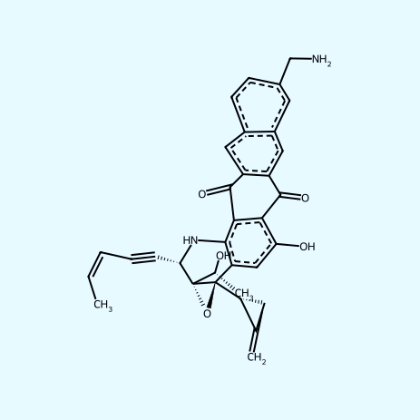 C=C1C[C@H]1[C@]12O[C@@]1([C@@H](C)O)[C@H](C#C/C=C\C)Nc1c2cc(O)c2c1C(=O)c1cc3ccc(CN)cc3cc1C2=O